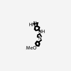 COc1ccc(CN2CC[C@@H](Nc3ccc4[nH]ncc4c3)C2)cc1